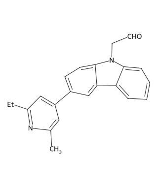 CCc1cc(-c2ccc3c(c2)c2ccccc2n3CC=O)cc(C)n1